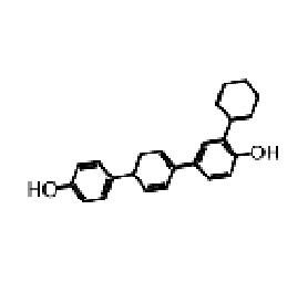 Oc1ccc(C2C=CC(c3ccc(O)c(C4CCCCC4)c3)=CC2)cc1